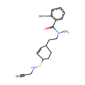 C#CCNSC1C=CC(CCN(C)C(=O)c2ccccc2C=O)CC1